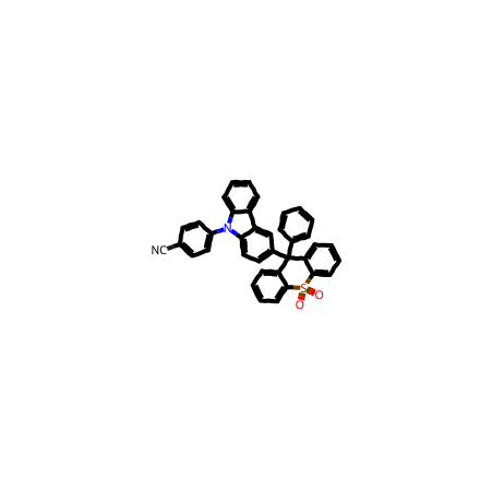 N#Cc1ccc(-n2c3ccccc3c3cc(C4(c5ccccc5)c5ccccc5S(=O)(=O)c5ccccc54)ccc32)cc1